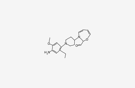 CCc1cc(N)c(OC)cc1N1CCC(N2C=CC=COC2C=O)CC1